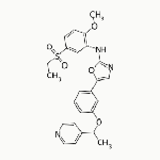 CCS(=O)(=O)c1ccc(OC)c(Nc2ncc(-c3cccc(OC(C)c4ccncc4)c3)o2)c1